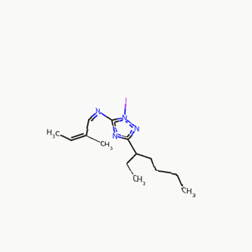 C/C=C(C)\C=N/c1nc(C(CC)CCCC)nn1I